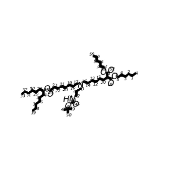 CCCCCCOC(=O)C(CCCCCCN(CCCCCCCC(=O)OC(CCCCCC)CCCCCC)CCCNC(=O)OC(C)(C)C)C(=O)OCCCCCC